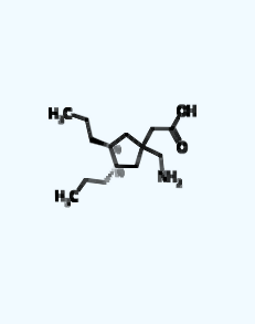 CCC[C@H]1CC(CN)(CC(=O)O)C[C@@H]1CCC